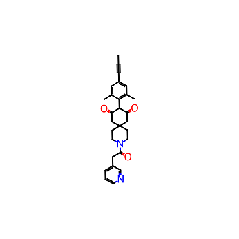 CC#Cc1cc(C)c(C2C(=O)CC3(CCN(C(=O)Cc4cccnc4)CC3)CC2=O)c(C)c1